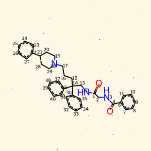 O=C(CNC(=O)c1ccccc1)NCC(CCCN1CCC(c2ccccc2)CC1)(c1ccccc1)c1ccccc1